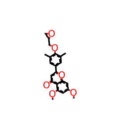 COc1cc(OC)c2c(=O)cc(-c3cc(C)c(OCC4CO4)c(C)c3)oc2c1